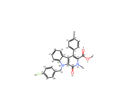 COC(=O)c1c(-c2ccc(C)cc2)c2c3ccccc3n(Cc3ccc(F)cc3)c2c(=O)n1C